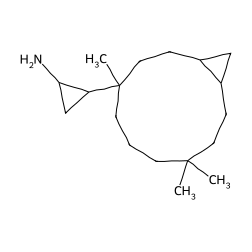 CC1(C)CCCC(C)(C2CC2N)CCC2CC2CC1